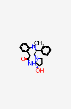 CN(c1ccccc1CC(N)=O)[C@H](CN1CC[C@H](O)C1)c1ccccc1